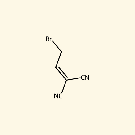 N#CC(C#N)=CCBr